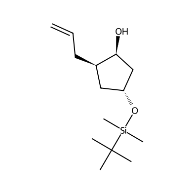 C=CC[C@@H]1C[C@@H](O[Si](C)(C)C(C)(C)C)C[C@@H]1O